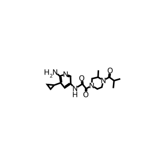 CC(C)C(=O)N1CCN(C(=O)C(=O)Nc2cnc(N)c(C3CC3)c2)CC1C